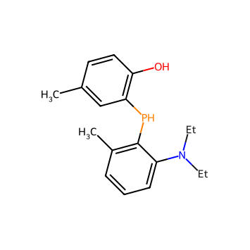 CCN(CC)c1cccc(C)c1Pc1cc(C)ccc1O